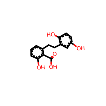 O=C(O)c1c(O)cccc1CCc1cc(O)ccc1O